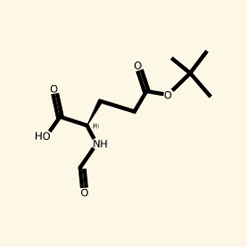 CC(C)(C)OC(=O)CC[C@@H](NC=O)C(=O)O